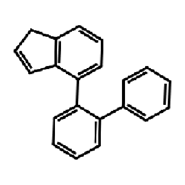 C1=Cc2c(cccc2-c2ccccc2-c2ccccc2)C1